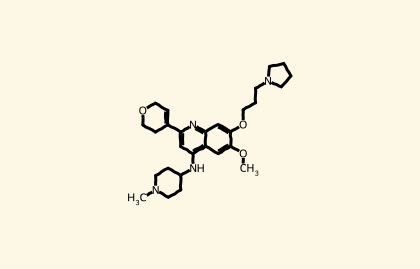 COc1cc2c(NC3CCN(C)CC3)cc(C3=CCOCC3)nc2cc1OCCCN1CCCC1